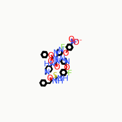 CN1CCC(NC(=O)N(c2cc(Oc3ccc(NC(=S)NC(=O)Cc4ccccc4)cc3F)ncn2)N(C(=O)Oc2ccccc2)c2cc(Oc3ccc([N+](=O)[O-])cc3F)ncn2)CC1